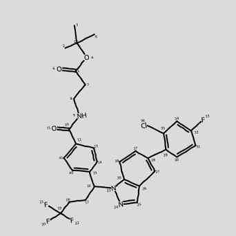 CC(C)(C)OC(=O)CCNC(=O)c1ccc(C(CCC(F)(F)F)n2ncc3cc(-c4ccc(F)cc4Cl)ccc32)cc1